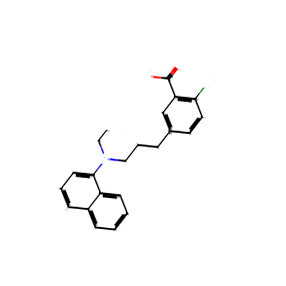 CCN(CCCc1ccc(F)c(C(=O)O)c1)c1cccc2ccccc12